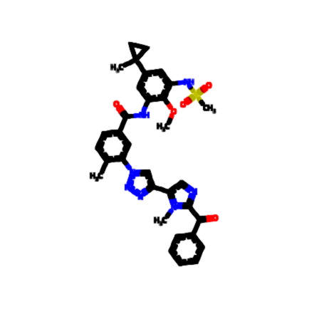 COc1c(NC(=O)c2ccc(C)c(-n3cc(-c4cnc(C(=O)c5ccccc5)n4C)nn3)c2)cc(C2(C)CC2)cc1NS(C)(=O)=O